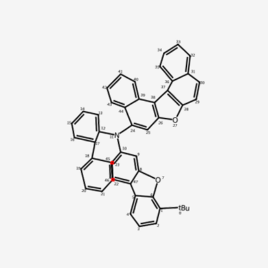 CC(C)(C)c1cccc2c1oc1cc(N(c3ccccc3-c3ccccc3)c3cc4oc5ccc6ccccc6c5c4c4ccccc34)ccc12